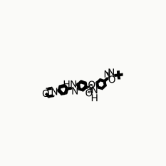 CC(C)(C)c1nnc(C2CCC(NS(=O)(=O)c3ccc4[nH]c(-c5ccc(N6CCOCC6)cc5)nc4c3)CC2)o1